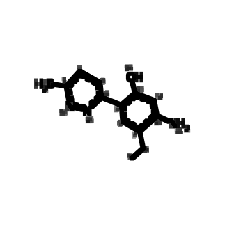 Bc1ccc(-c2cc(CC)c(N)cc2O)nn1